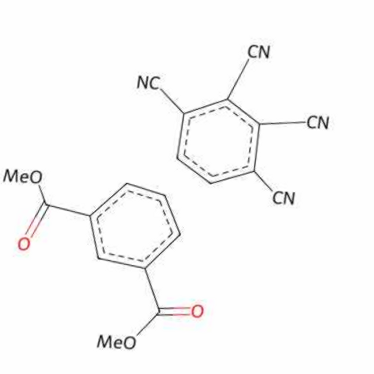 COC(=O)c1cccc(C(=O)OC)c1.N#Cc1ccc(C#N)c(C#N)c1C#N